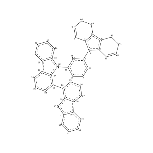 C1=Cc2c(c3c(n2-c2cccc(-n4c5ccccc5c5cccc(-c6cccc7c6sc6ccccc67)c54)n2)C=CCC3)CC1